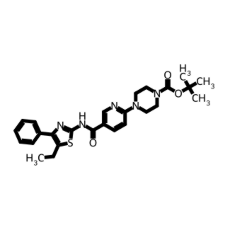 CCc1sc(NC(=O)c2ccc(N3CCN(C(=O)OC(C)(C)C)CC3)nc2)nc1-c1ccccc1